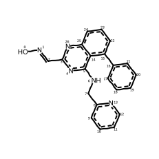 ON=Cc1nc(NCc2ccccn2)c2c(-c3ccccc3)cccc2n1